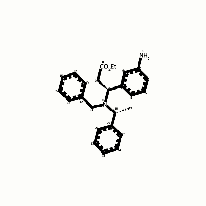 CCOC(=O)C[C@@H](c1cccc(N)c1)N(Cc1ccccc1)[C@H](C)c1ccccc1